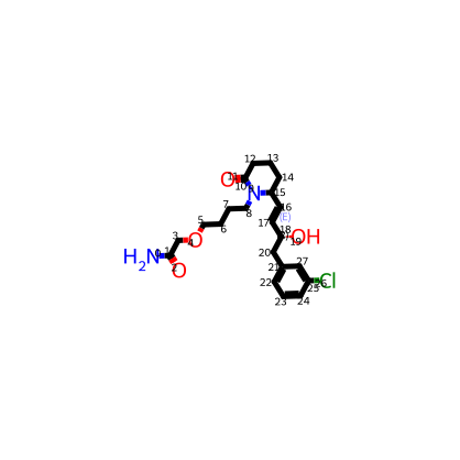 NC(=O)COCCCCN1C(=O)CCCC1/C=C/[C@H](O)Cc1cccc(Cl)c1